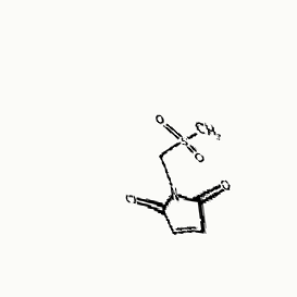 CS(=O)(=O)CN1C(=O)C=CC1=O